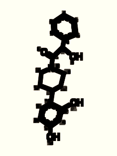 O=C(C(O)c1ccccc1)N1CCC(c2ccc(O)cc2O)CC1